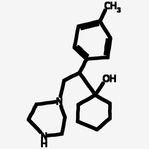 Cc1ccc(C(CN2CCNCC2)C2(O)CCCCC2)cc1